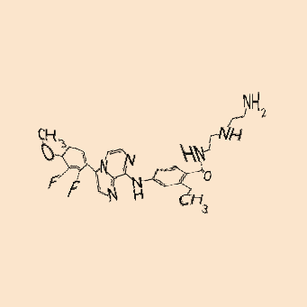 CCc1cc(Nc2nccn3c(C4=CCC(OC)C(F)=C4F)cnc23)ccc1C(=O)NCCNCCN